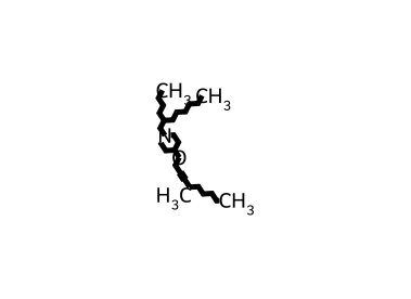 CCCCCCC(CCCC)CN1CCC(OCC#CC(C)CCCCC)CC1